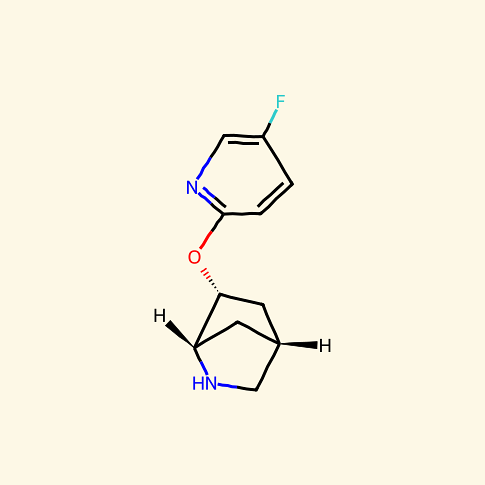 Fc1ccc(O[C@@H]2C[C@@H]3CN[C@H]2C3)nc1